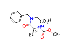 CC[C@H](NC(=O)OC(C)(C)C)C(=O)N(CC(=O)O)Cc1ccccc1